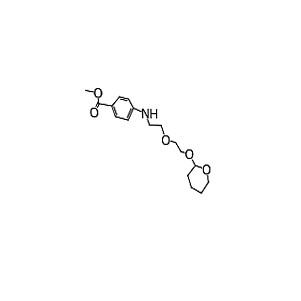 COC(=O)c1ccc(NCCOCCOC2CCCCO2)cc1